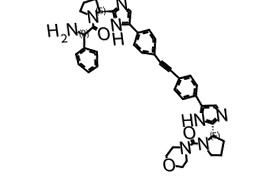 N[C@@H](C(=O)N1CCC[C@H]1c1ncc(-c2ccc(C#Cc3ccc(-c4cnc([C@@H]5CCCN5C(=O)N5CCOCC5)[nH]4)cc3)cc2)[nH]1)c1ccccc1